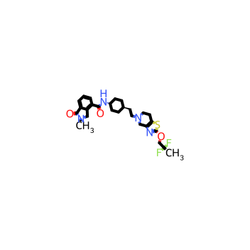 CN1Cc2c(C(=O)N[C@H]3CC[C@H](CCN4CCc5sc(OCC(C)(F)F)nc5C4)CC3)cccc2C1=O